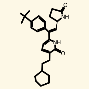 CC(C)(C)c1ccc(/C(=C\[C@H]2CCC(=O)N2)c2ccc(CCC3CCCCC3)c(=O)[nH]2)cc1